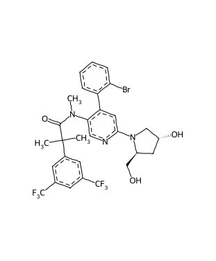 CN(C(=O)C(C)(C)c1cc(C(F)(F)F)cc(C(F)(F)F)c1)c1cnc(N2C[C@H](O)C[C@H]2CO)cc1-c1ccccc1Br